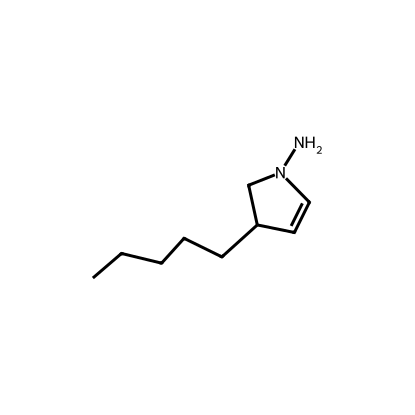 CCCCCC1C=CN(N)C1